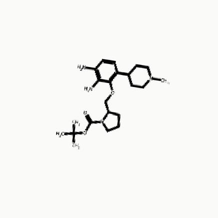 CN1CCC(c2ccc(N)c(N)c2OCC2CCCN2C(=O)OC(C)(C)C)CC1